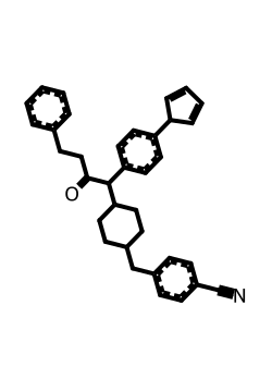 N#Cc1ccc(CC2CCC(C(C(=O)CCc3ccccc3)c3ccc(C4C=CC=C4)cc3)CC2)cc1